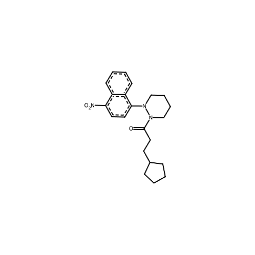 O=C(CCC1CCCC1)N1CCCCN1c1ccc([N+](=O)[O-])c2ccccc12